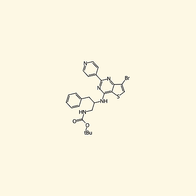 CC(C)(C)OC(=O)NCC(Cc1ccccc1)Nc1nc(-c2ccncc2)nc2c(Br)csc12